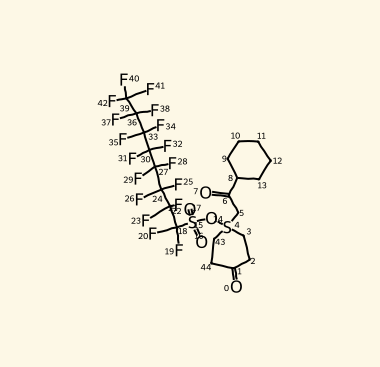 O=C1CCS(CC(=O)C2CCCCC2)(OS(=O)(=O)C(F)(F)C(F)(F)C(F)(F)C(F)(F)C(F)(F)C(F)(F)C(F)(F)C(F)(F)F)CC1